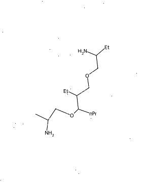 CCCC(OCC(C)N)C(CC)COCC(N)CC